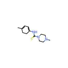 CC1=CC=C(NC(=S)N2CCN(C)CC2)CC1